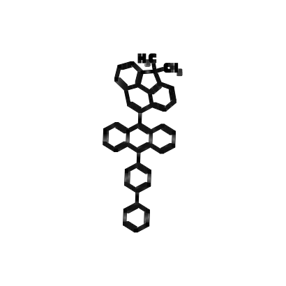 CC1(C)c2cccc3cc(-c4c5ccccc5c(-c5ccc(-c6ccccc6)cc5)c5ccccc45)c4cccc1c4c23